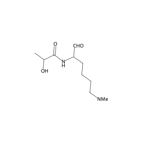 CNCCCCC(C=O)NC(=O)C(C)O